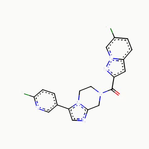 O=C(c1cc2ccc(Cl)cn2n1)N1CCn2c(-c3ccc(F)nc3)cnc2C1